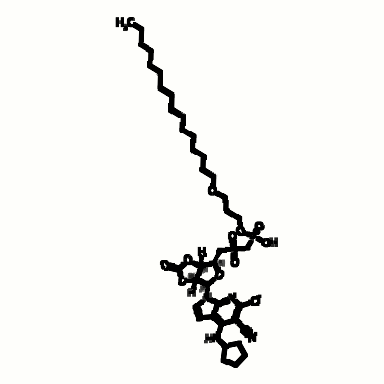 CCCCCCCCCCCCCCCCOCCCOP(=O)(O)CS(=O)(=O)C[C@H]1O[C@@H](n2ccc3c(NC4CCCC4)c(C#N)c(Cl)nc32)[C@@H]2OC(=O)O[C@@H]21